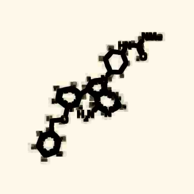 CNC(=O)NC1CCC(n2cc(-c3cccc(OCc4ccccc4)c3)c3c(N)ncnc32)CC1